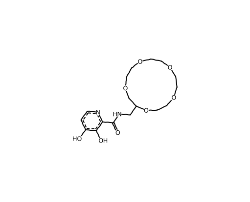 O=C(NCC1COCCOCCOCCOCCO1)c1nccc(O)c1O